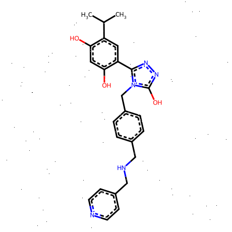 CC(C)c1cc(-c2nnc(O)n2Cc2ccc(CNCc3ccncc3)cc2)c(O)cc1O